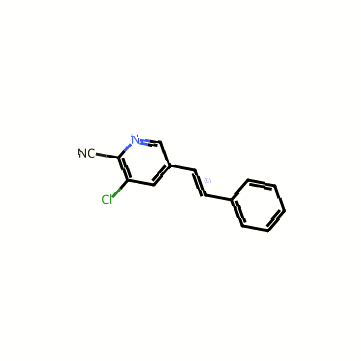 N#Cc1ncc(/C=C/c2ccccc2)cc1Cl